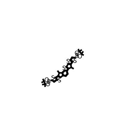 CC1c2c(sc3c4c(ccc23)-c2sc3cc(B5OC(C)(C)C(C)(C)O5)sc3c2C4C)-c2sc3cc(B4OC(C)(C)C(C)(C)O4)sc3c21